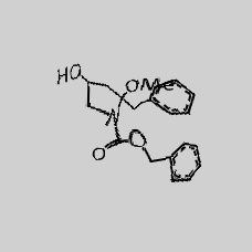 COC1(Cc2ccccc2)CC(O)CN1C(=O)OCc1ccccc1